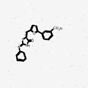 O=C1N/C(=N\c2ccccc2)S/C1=C/c1ccc(-c2cccc(C(=O)O)c2)o1